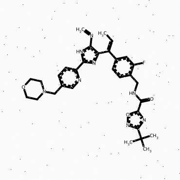 C=Nc1[nH]c(-c2ccc(CN3CCOCC3)cn2)nc1/C(=C\C)c1ccc(CNC(=O)c2nc(C(C)(C)C)no2)c(F)c1